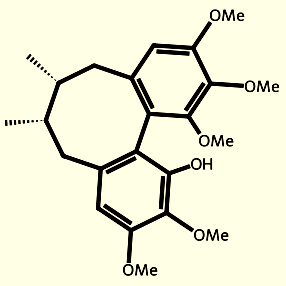 COc1cc2c(c(O)c1OC)-c1c(cc(OC)c(OC)c1OC)C[C@@H](C)[C@@H](C)C2